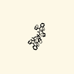 CCC(C)(CC(C)N1C(c2ccco2)Oc2ccccc2C1c1ccco1)OCC(C)C(C)(CC)N1C(c2ccco2)Oc2ccccc2C1c1ccco1